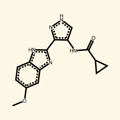 COc1ccc2[nH]c(-c3n[nH]cc3NC(=O)C3CC3)nc2c1